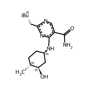 CC[C@@H](C)Cc1ncc(C(N)=O)c(N[C@@H]2CC[C@@H](C)[C@H](O)C2)n1